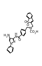 Nc1cn(-c2ccccc2)nc1NC(=O)c1ccc(CN(CC2=Cc3ccccc3S2(=O)=O)C(=O)O)cc1